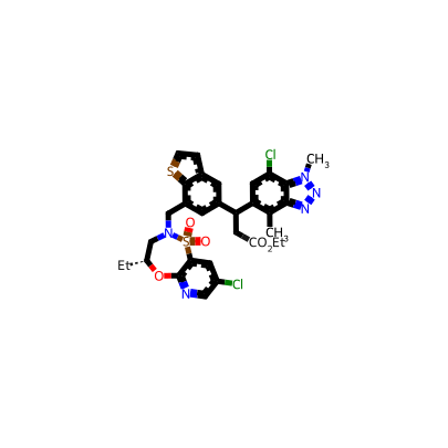 CCOC(=O)CC(c1cc(CN2C[C@@H](CC)Oc3ncc(Cl)cc3S2(=O)=O)c2sccc2c1)c1cc(Cl)c2c(nnn2C)c1C